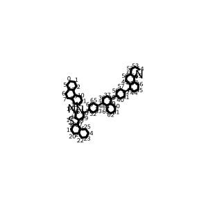 c1ccc2c(c1)ccc1c2ccc2c1nc1c3sc4ccc5ccccc5c4c3cc(-c3ccc(-c4ccc(-c5ccc(-c6cccc7c6ccc6cccnc67)cc5)c5ccccc45)cc3)n21